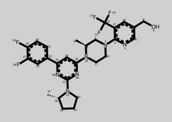 C[C@H]1CN(c2ncc(CO)cc2C(F)(F)F)CCN1c1cc(-c2ccc(F)c(F)c2)nc(N2CCC[C@@H]2C)n1